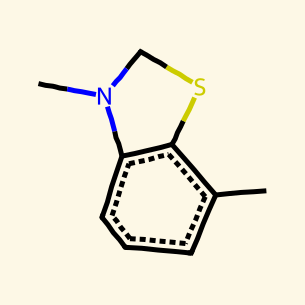 Cc1cccc2c1SCN2C